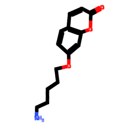 NCCCCCOc1ccc2ccc(=O)oc2c1